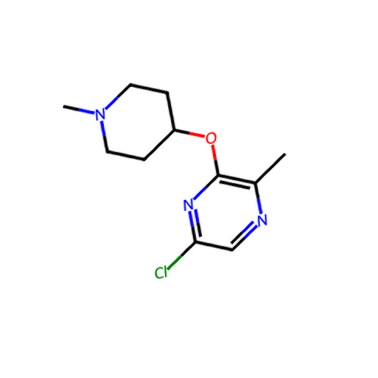 Cc1ncc(Cl)nc1OC1CCN(C)CC1